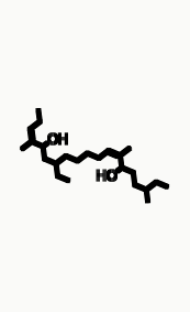 CCC=C(C)C(O)CC(CC)CCCCC=C(C)C(O)CCC(C)CC